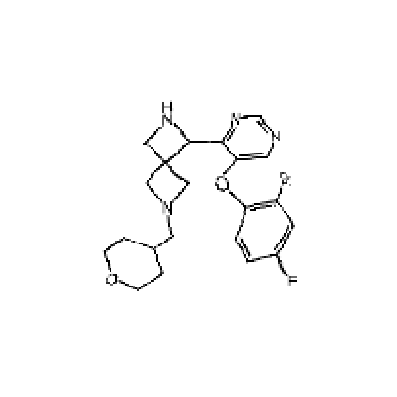 Fc1ccc(Oc2cncnc2C2NCC23CN(CC2CCOCC2)C3)c(Br)c1